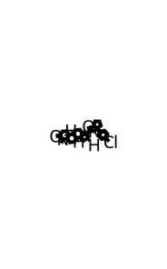 CN1C(=O)CC[C@@]2(C)C1CC[C@@H]1[C@H]2CC[C@]2(C)C(C(=O)NC3(c4ccc(Cl)cc4)CCCC3)CC[C@@H]12